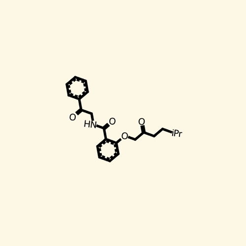 CC(C)CCC(=O)COc1ccccc1C(=O)NCC(=O)c1ccccc1